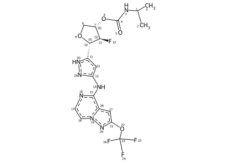 CC(C)NC(=O)O[C@H]1CO[C@@H](c2cc(Nc3nccn4nc(OC(F)(F)F)cc34)n[nH]2)[C@@H]1F